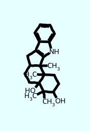 CC1(C)C(O)CCC2(C)C3(C)c4[nH]c5ccccc5c4CC3CCC12O